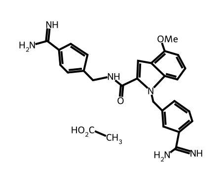 CC(=O)O.COc1cccc2c1cc(C(=O)NCc1ccc(C(=N)N)cc1)n2Cc1cccc(C(=N)N)c1